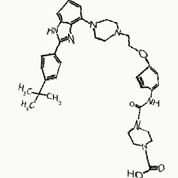 CC(C)(C)c1ccc(-c2nc3c(N4CCN(CCOc5ccc(NC(=O)N6CCN(C(=O)O)CC6)cc5)CC4)cccc3[nH]2)cc1